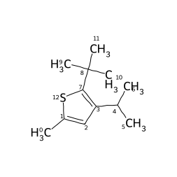 Cc1cc(C(C)C)c(C(C)(C)C)s1